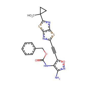 Nc1noc(C#Cc2nc3sc(C4(C(=O)O)CC4)nc3s2)c1NC(=O)OCc1ccccc1